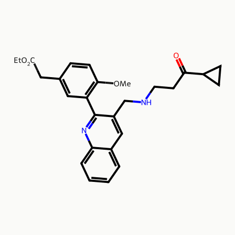 CCOC(=O)Cc1ccc(OC)c(-c2nc3ccccc3cc2CNCCC(=O)C2CC2)c1